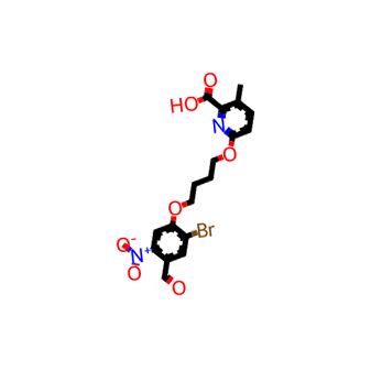 Cc1ccc(OCCCCOc2cc([N+](=O)[O-])c(C=O)cc2Br)nc1C(=O)O